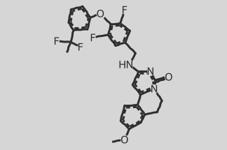 COc1ccc2c(c1)CCn1c-2cc(NCc2cc(F)c(Oc3cccc(C(C)(F)F)c3)c(F)c2)nc1=O